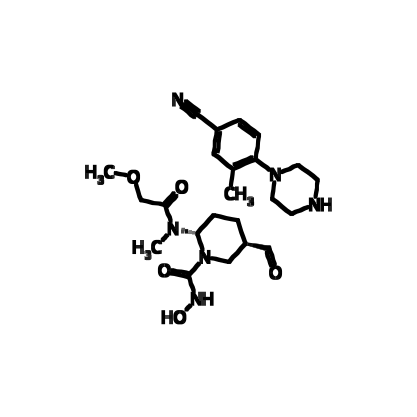 COCC(=O)N(C)[C@@H]1CC[C@@H](C=O)CN1C(=O)NO.Cc1cc(C#N)ccc1N1CCNCC1